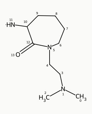 CN(C)CCN1CCCCC([NH])C1=O